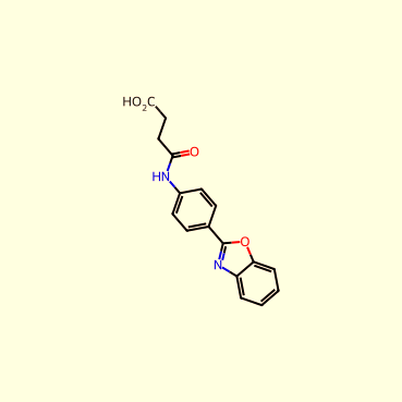 O=C(O)CCC(=O)Nc1ccc(-c2nc3ccccc3o2)cc1